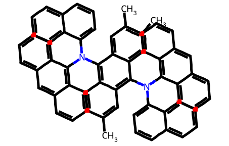 Cc1ccc2c(N(c3cccc4ccccc34)c3c4ccccc4cc4ccccc34)c3cc(C)c(C)cc3c(N(c3cccc4ccccc34)c3c4ccccc4cc4ccccc34)c2c1